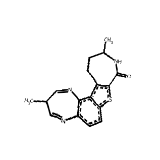 CC1C=Nc2ccc3sc4c(c3c2N=C1)CCC(C)NC4=O